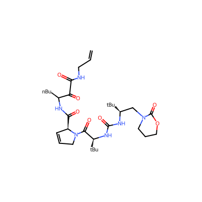 C=CCNC(=O)C(=O)C(CCCC)NC(=O)[C@@H]1C=CCN1C(=O)[C@@H](NC(=O)N[C@H](CN1CCCOC1=O)C(C)(C)C)C(C)(C)C